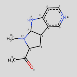 CC(=O)C1CC2c3cnccc3NC2N1C